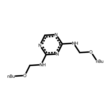 CCCCOCNc1ncnc(NCOCCCC)n1